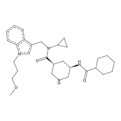 COCCCn1cc(CN(C(=O)[C@@H]2CNC[C@H](NC(=O)C3CCCCC3)C2)C2CC2)c2ccccc21